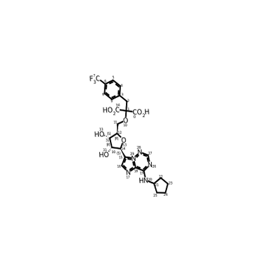 O=C(O)C(Cc1ccc(C(F)(F)F)cc1)(OC[C@H]1O[C@@H](c2cnc3c(NC4CCCC4)ncnn23)[C@H](O)[C@@H]1O)C(=O)O